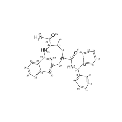 CC1CN(C(=O)NC(c2ccccc2)c2ccccc2)Cc2nc(c3ccccc3n2)N[C@@H]1C(N)=O